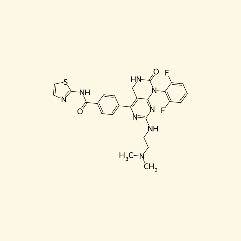 CN(C)CCNc1nc(-c2ccc(C(=O)Nc3nccs3)cc2)c2c(n1)N(c1c(F)cccc1F)C(=O)NC2